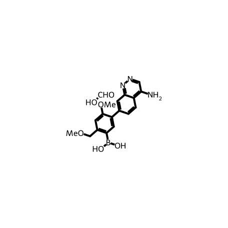 COCc1cc(OC)c(-c2ccc3c(N)cnnc3c2)cc1B(O)O.O=CO